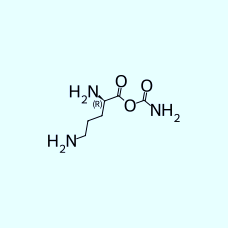 NCCC[C@@H](N)C(=O)OC(N)=O